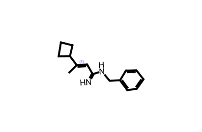 C/C(=C\C(=N)NCc1ccccc1)C1CCC1